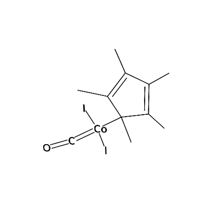 CC1=C(C)[C](C)([Co]([I])([I])=[C]=O)C(C)=C1C